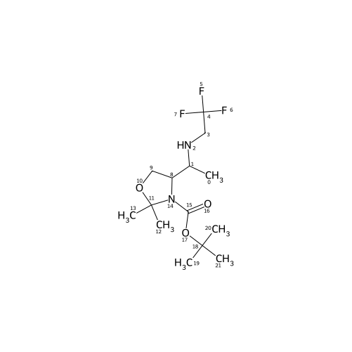 CC(NCC(F)(F)F)C1COC(C)(C)N1C(=O)OC(C)(C)C